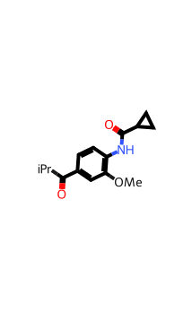 COc1cc(C(=O)C(C)C)ccc1NC(=O)C1CC1